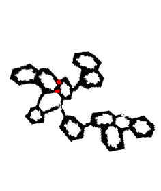 c1cc(-c2cccc3ccccc23)cc(N(c2cccc(-c3ccc4c5c(cccc35)-c3ccccc3O4)c2)c2ccccc2-c2cccc3ccccc23)c1